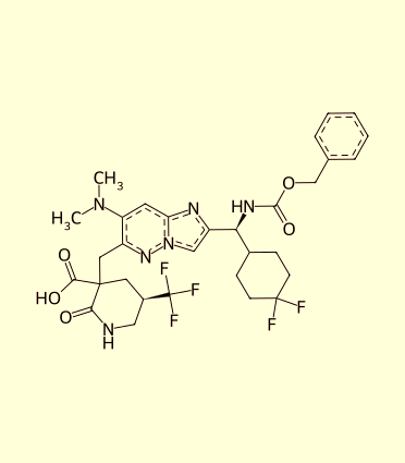 CN(C)c1cc2nc([C@@H](NC(=O)OCc3ccccc3)C3CCC(F)(F)CC3)cn2nc1CC1(C(=O)O)C[C@@H](C(F)(F)F)CNC1=O